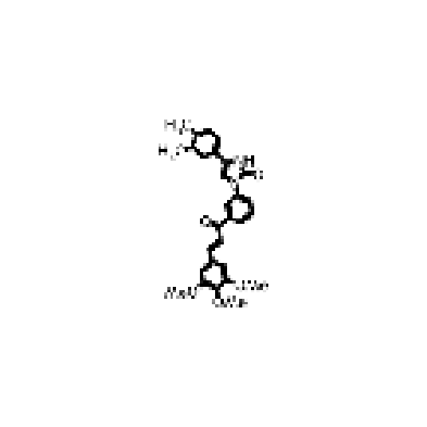 COc1cc(/C=C/C(=O)c2cccc(-n3cc(C4=CC=C(C)C(C)C4)[nH]c3=O)c2)cc(OC)c1OC